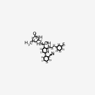 CN1CC(=O)N[C@@H](CNC(=O)c2ccc(-c3ccccc3C#N)nc2NCCc2cccc(F)c2)C1